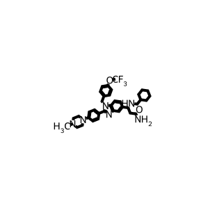 CN1CCN(c2ccc(-c3nc4cc(C(CC(N)=O)NCC5CCCCC5)ccc4n3Cc3ccc(OC(F)(F)F)cc3)cc2)CC1